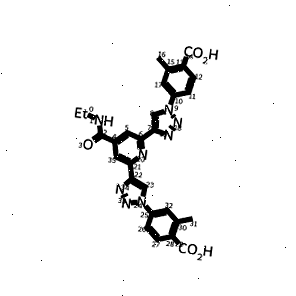 CCNC(=O)c1cc(-c2cn(-c3ccc(C(=O)O)c(C)c3)nn2)nc(-c2cn(-c3ccc(C(=O)O)c(C)c3)nn2)c1